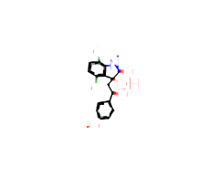 COc1ccc(C(=O)CC2(O)C(=O)N(C)c3c(Cl)ccc(Cl)c32)cc1